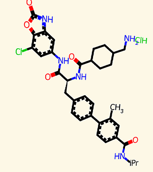 Cc1cc(C(=O)NC(C)C)ccc1-c1ccc(C[C@H](NC(=O)C2CCC(CN)CC2)C(=O)Nc2cc(Cl)c3oc(=O)[nH]c3c2)cc1.Cl